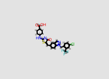 O=C1N=C(NC2CCC(C(=O)O)CC2)SC1=Cc1ccc2c(cnn2Cc2ccc(Cl)cc2C(F)(F)F)c1